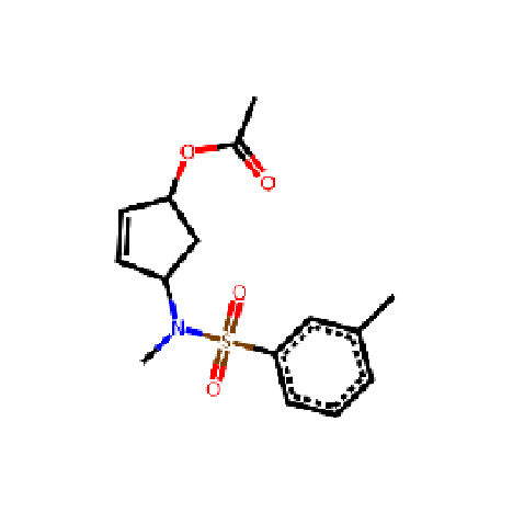 CC(=O)OC1C=CC(N(C)S(=O)(=O)c2cccc(C)c2)C1